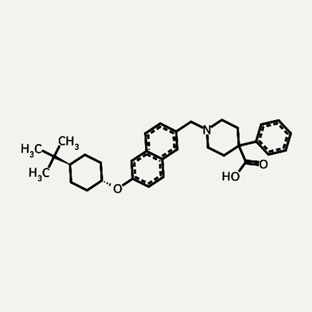 CC(C)(C)[C@H]1CC[C@H](Oc2ccc3cc(CN4CCC(C(=O)O)(c5ccccc5)CC4)ccc3c2)CC1